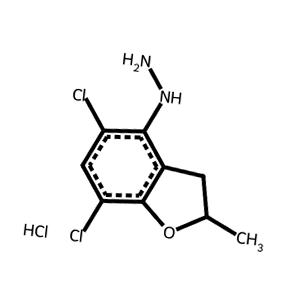 CC1Cc2c(NN)c(Cl)cc(Cl)c2O1.Cl